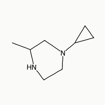 CC1CN(C2CC2)CCN1